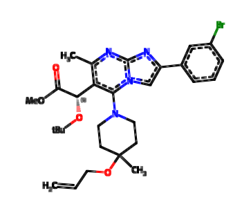 C=CCOC1(C)CCN(c2c([C@H](OC(C)(C)C)C(=O)OC)c(C)nc3nc(-c4cccc(Br)c4)cn23)CC1